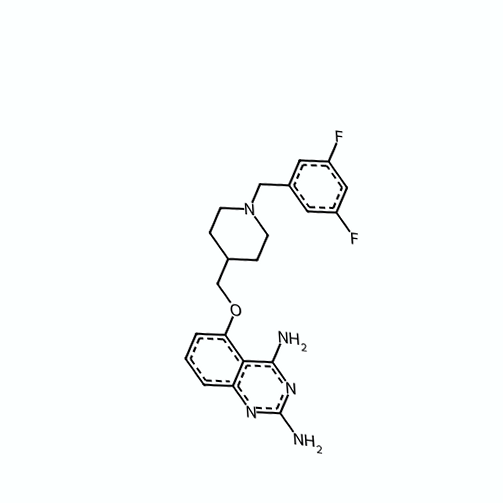 Nc1nc(N)c2c(OCC3CCN(Cc4cc(F)cc(F)c4)CC3)cccc2n1